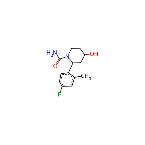 Cc1cc(F)ccc1C1CC(O)CCN1C(N)=O